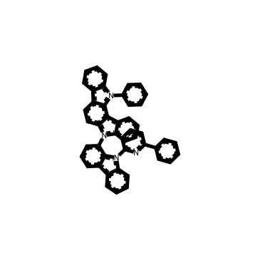 c1ccc(-c2cccc(-n3c4ccccc4c4cccc(-n5c6ccccc6c6c5ccc5c7ccccc7n(-c7ccccc7)c56)c43)n2)cc1